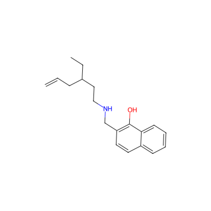 C=CCC(CC)CCNCc1ccc2ccccc2c1O